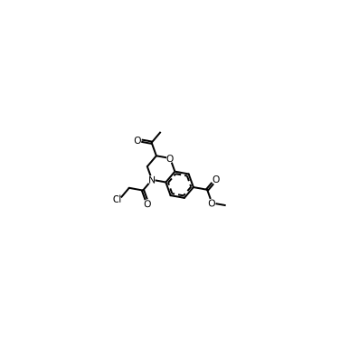 COC(=O)c1ccc2c(c1)OC(C(C)=O)CN2C(=O)CCl